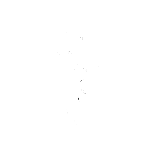 CC(=O)C(=N)c1cccnc1NCC(=O)N1CCC[C@H]1C(=O)NC[C@H]1CC1(Cl)Cl